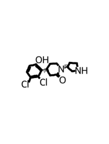 O=C1C[C@H](c2c(O)ccc(Cl)c2Cl)CCN1[C@@H]1CCNC1